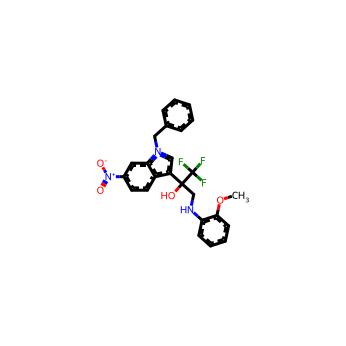 COc1ccccc1NCC(O)(c1cn(Cc2ccccc2)c2cc([N+](=O)[O-])ccc12)C(F)(F)F